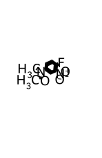 CC(=O)N(C)c1ccc(F)c([N+](=O)[O-])c1